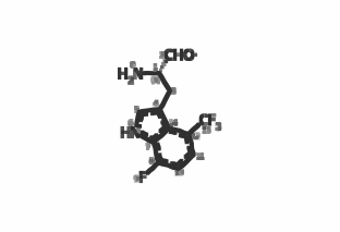 N[C@H]([C]=O)Cc1c[nH]c2c(F)ccc(C(F)(F)F)c12